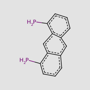 Pc1cccc2cc3cccc(P)c3cc12